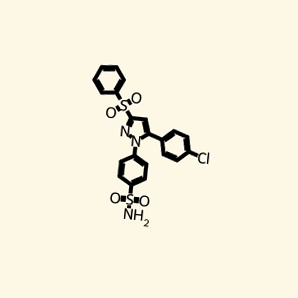 NS(=O)(=O)c1ccc(-n2nc(S(=O)(=O)c3ccccc3)cc2-c2ccc(Cl)cc2)cc1